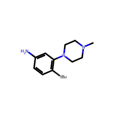 CN1CCN(c2cc(N)ccc2C(C)(C)C)CC1